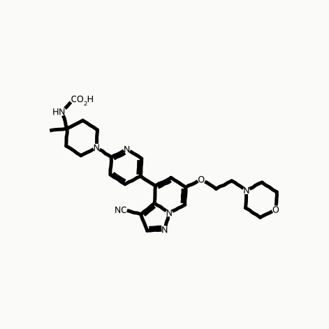 CC1(NC(=O)O)CCN(c2ccc(-c3cc(OCCN4CCOCC4)cn4ncc(C#N)c34)cn2)CC1